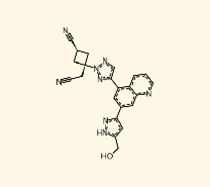 N#CC[C@]1(n2ncc(-c3cc(-c4cc(CO)[nH]n4)cc4ncccc34)n2)C[C@H](C#N)C1